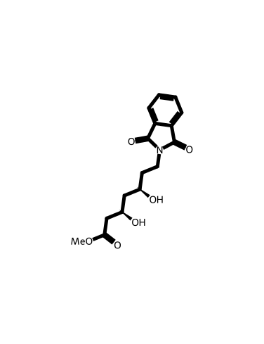 COC(=O)C[C@H](O)C[C@H](O)CCN1C(=O)c2ccccc2C1=O